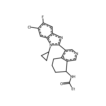 CCC(=O)NC1CCCc2c(-c3nc4cc(F)c(Cl)cc4n3C3CC3)cncc21